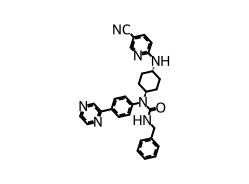 N#Cc1ccc(N[C@H]2CC[C@H](N(C(=O)NCc3ccccc3)c3ccc(-c4cnccn4)cc3)CC2)nc1